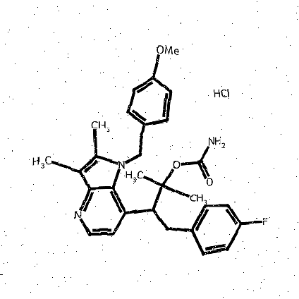 COc1ccc(Cn2c(C)c(C)c3nccc(C(Cc4ccc(F)cc4)C(C)(C)OC(N)=O)c32)cc1.Cl